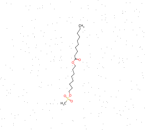 CCCCCCCCCC(=O)OCCCCCCCCOS(C)(=O)=O